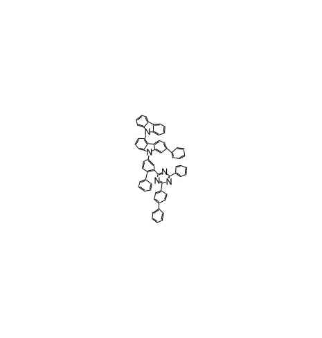 c1ccc(-c2ccc(-c3nc(-c4ccccc4)nc(-c4cc(-n5c6cc(-c7ccccc7)ccc6c6c(-n7c8ccccc8c8ccccc87)cccc65)ccc4-c4ccccc4)n3)cc2)cc1